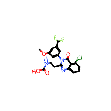 COc1cc(C(F)F)cc(-n2c(CCNC(=O)O)nc3cccc(Cl)c3c2=O)c1